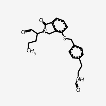 CCCC(C=O)N1Cc2c(SCc3ccc(CCNC=O)cc3)cccc2C1=O